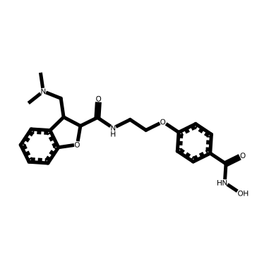 CN(C)CC1c2ccccc2OC1C(=O)NCCOc1ccc(C(=O)NO)cc1